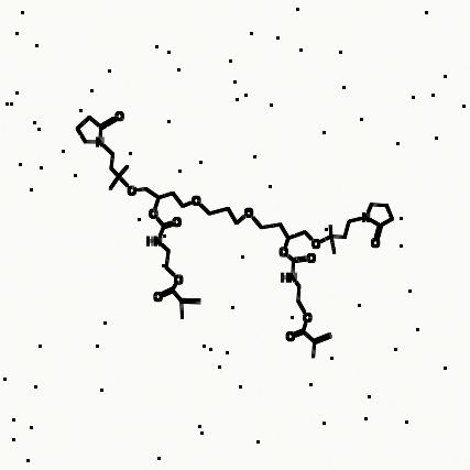 C=C(C)C(=O)OCCNC(=O)OC(CCOCCCOCCC(COC(C)(C)CCN1CCCC1=O)OC(=O)NCCOC(=O)C(=C)C)COC(C)(C)CCN1CCCC1=O